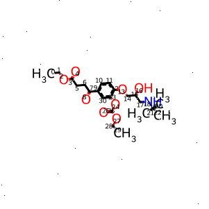 CCOC(=O)CCC(=O)c1ccc(OCC(O)CNC(C)(C)C)c(OC(=O)OCC)c1